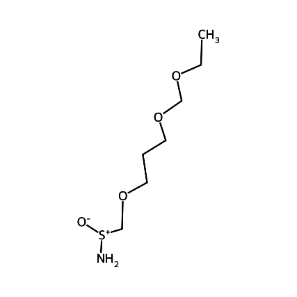 CCOCOCCCOC[S+](N)[O-]